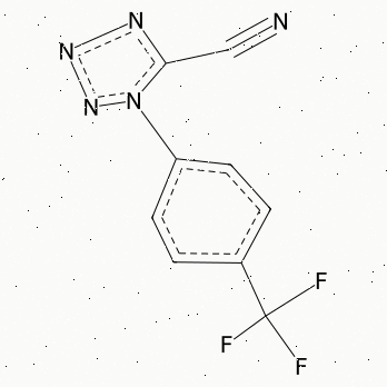 N#Cc1nnnn1-c1ccc(C(F)(F)F)cc1